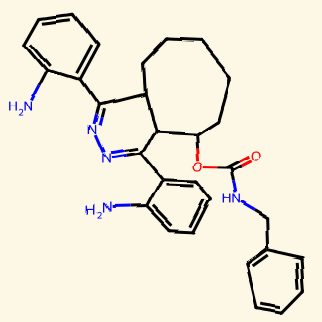 Nc1ccccc1C1=NN=C(c2ccccc2N)C2C(OC(=O)NCc3ccccc3)CCCCCC12